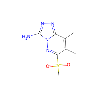 Cc1c(S(C)(=O)=O)nn2c(N)nnc2c1C